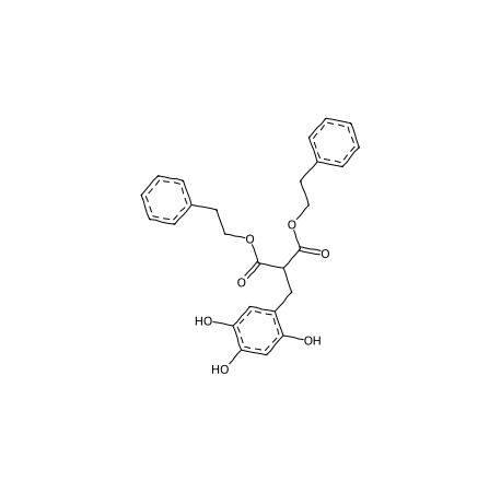 O=C(OCCc1ccccc1)C(Cc1cc(O)c(O)cc1O)C(=O)OCCc1ccccc1